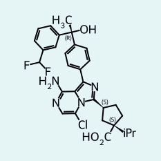 CC(C)[C@]1(C(=O)O)CC[C@H](c2nc(-c3ccc([C@@](C)(O)c4cccc(C(F)F)c4)cc3)c3c(N)ncc(Cl)n23)C1